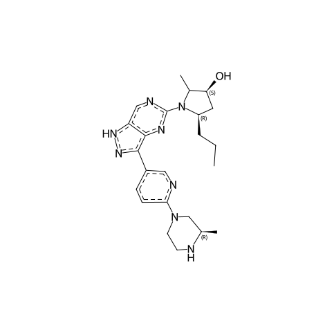 CCC[C@@H]1C[C@H](O)C(C)N1c1ncc2[nH]nc(-c3ccc(N4CCN[C@H](C)C4)nc3)c2n1